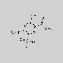 COC(=O)c1cc(S(=O)(=O)Cl)c(NC(C)=O)cc1OC